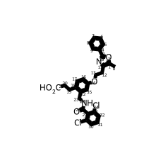 Cc1oc(-c2ccccc2)nc1CCOc1ccc(CCC(=O)O)c(CNC(=O)c2c(Cl)cccc2Cl)c1